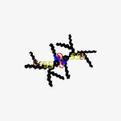 CCCCCCCCC(CCCCCC)Cc1cc(-c2sc(-c3ccc4c(c3)N(CCCCCCCC)C(=O)/C4=C3/C(=O)N(CCCCCCCC)c4cc(-c5cc(CC(CCCCCC)CCCCCCCC)c(-c6cc(CC(CCCCCC)CCCCCCCC)c(Br)s6)s5)ccc43)cc2CC(CCCCCC)CCCCCCCC)sc1Br